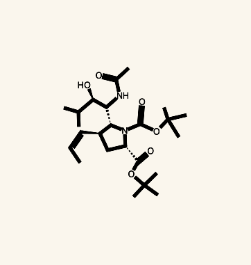 C/C=C\[C@@H]1C[C@@H](C(=O)OC(C)(C)C)N(C(=O)OC(C)(C)C)[C@H]1C(NC(C)=O)[C@H](O)C(C)C